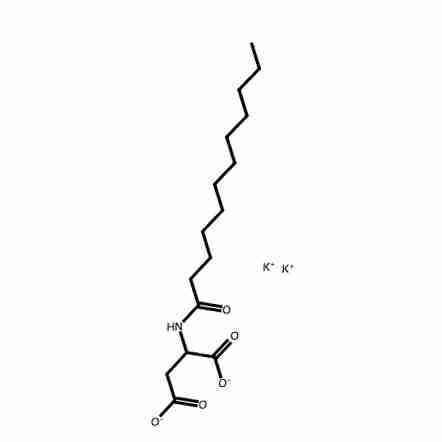 CCCCCCCCCCCC(=O)NC(CC(=O)[O-])C(=O)[O-].[K+].[K+]